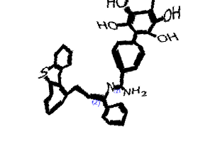 N/C(=N\C(=C/Cc1cccc2sc3c(c12)C=CCC3)c1ccccc1)c1ccc(-c2c(O)c(O)c(O)c(O)c2O)cc1